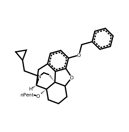 CCCCCO[C@@]12CCCC3Oc4c(OCc5ccccc5)ccc5c4[C@@]31CCN(CC1CC1)[C@@H]2C5